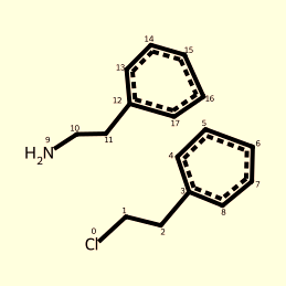 ClCCc1ccccc1.NCCc1ccccc1